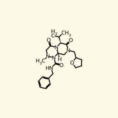 CC(C)[C@H]1C(=O)N(CC2CCCO2)C[C@H]2N1C(=O)CN(C)N2C(=O)NCc1ccccc1